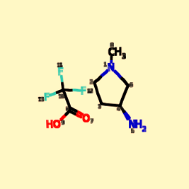 CN1CC[C@H](N)C1.O=C(O)C(F)(F)F